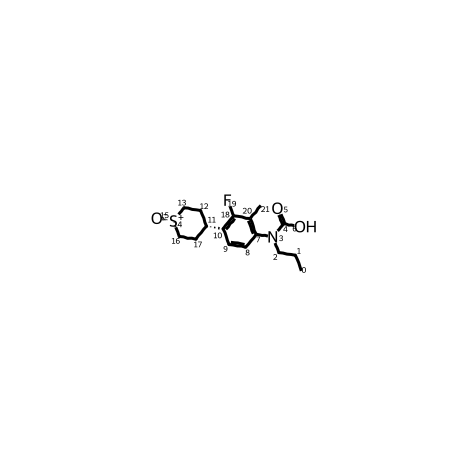 CCCN(C(=O)O)c1ccc([C@H]2CC[S@@+]([O-])CC2)c(F)c1C